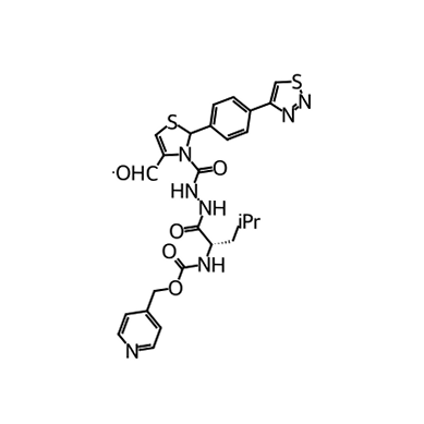 CC(C)C[C@H](NC(=O)OCc1ccncc1)C(=O)NNC(=O)N1C([C]=O)=CSC1c1ccc(-c2csnn2)cc1